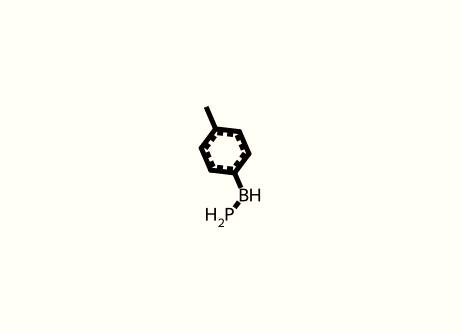 Cc1ccc(BP)cc1